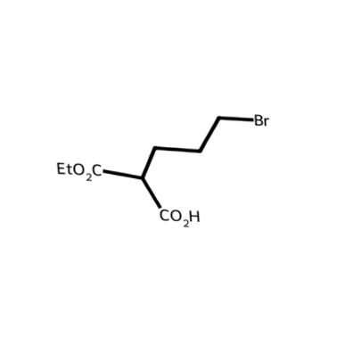 CCOC(=O)C(CCCBr)C(=O)O